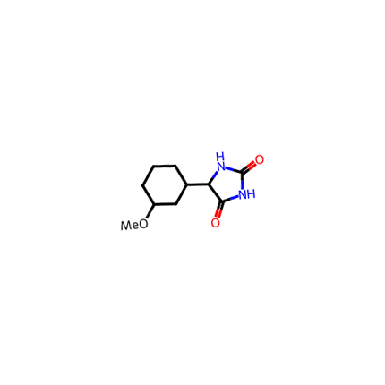 COC1CCCC(C2NC(=O)NC2=O)C1